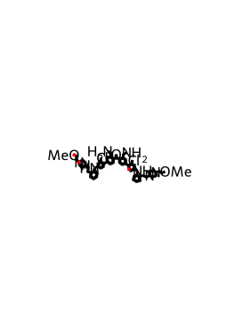 COCCN1CCN(CCc2ccccc2Nc2ccc(-c3ccc(C(=O)c4ccc(-c5ccc(Nc6ccccc6CCN6CCN(CCOC)CC6)cc5Cl)cc4CN)c(CN)c3)c(Cl)c2)CC1